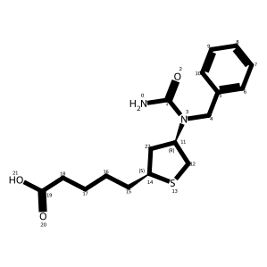 NC(=O)N(Cc1ccccc1)[C@H]1CS[C@@H](CCCCC(=O)O)C1